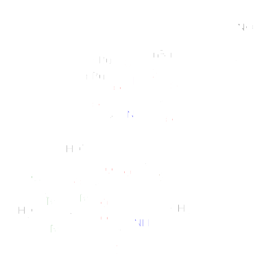 C=C(Cl)COC(=O)OC(C)C1C(=O)N(C(C(=O)OCc2ccc([N+](=O)[O-])cc2)=P(OCCCC)(OCCCC)OCCCC)C1CC(=O)SC(C)CNC(=O)OCC(Br)(Br)Br